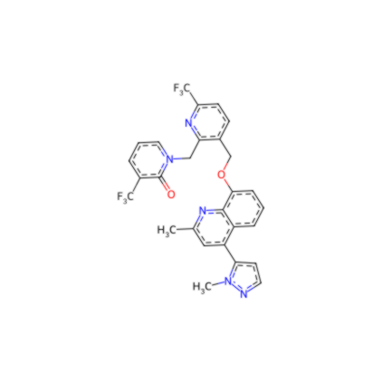 Cc1cc(-c2ccnn2C)c2cccc(OCc3ccc(C(F)(F)F)nc3Cn3cccc(C(F)(F)F)c3=O)c2n1